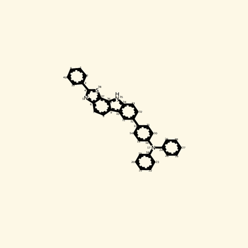 c1ccc(-c2nc3ccc4c5cc(-c6ccc(N(c7ccccc7)c7ccccc7)cc6)ccc5[nH]c4c3s2)cc1